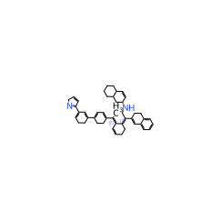 C/C(C1=CC=C(C2=CC(C3=NCC=C3)=CCC2)CC1)=C1/C=CCC/C1=C(/CNC1C=CC2CCCCC2C1)C1=Cc2ccccc2CC1